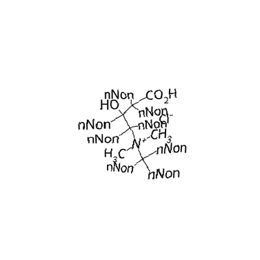 CCCCCCCCCC(CCCCCCCCC)(C(=O)O)C(O)(CCCCCCCCC)C(CCCCCCCCC)(CCCCCCCCC)[N+](C)(C)C(CCCCCCCCC)(CCCCCCCCC)CCCCCCCCC.[Cl-]